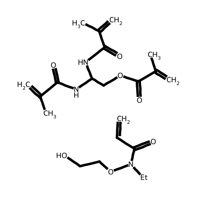 C=C(C)C(=O)NC(COC(=O)C(=C)C)NC(=O)C(=C)C.C=CC(=O)N(CC)OCCO